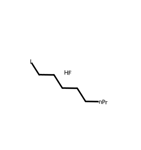 CCCCCCCCI.F